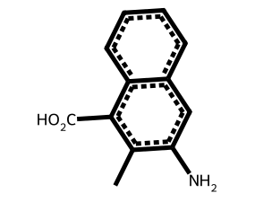 Cc1c(N)cc2ccccc2c1C(=O)O